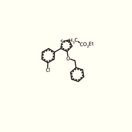 CCOC(C)=O.Clc1cccc(-c2sccc2OCc2ccccc2)c1